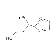 CCCC(CCO)c1ccco1